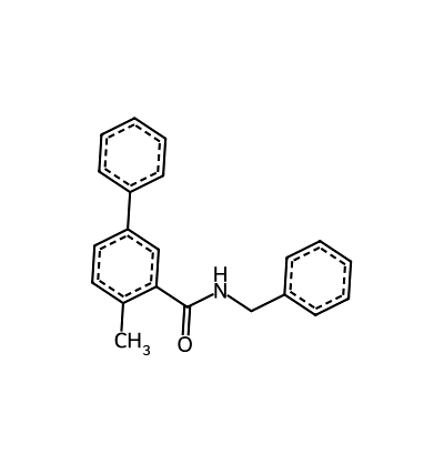 Cc1ccc(-c2ccccc2)cc1C(=O)NCc1ccccc1